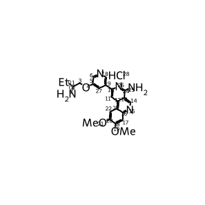 CC[C@H](N)COc1cncc(-c2cc3c(cnc4cc(OC)c(OC)cc43)c(N)n2)c1.Cl